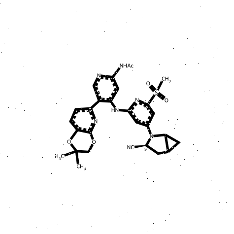 CC(=O)Nc1cc(Nc2cc(N3C4CC4C[C@H]3C#N)cc(S(C)(=O)=O)n2)c(-c2ccc3c(n2)OCC(C)(C)O3)cn1